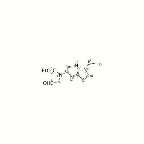 CCOC(=O)N(CC=O)c1cnc2c(ccn2SI)n1